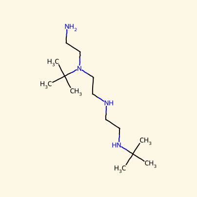 CC(C)(C)NCCNCCN(CCN)C(C)(C)C